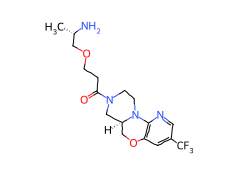 C[C@H](N)COCCC(=O)N1CCN2c3ncc(C(F)(F)F)cc3OC[C@H]2C1